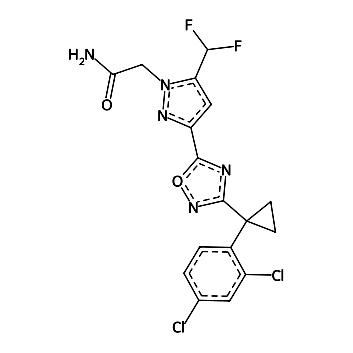 NC(=O)Cn1nc(-c2nc(C3(c4ccc(Cl)cc4Cl)CC3)no2)cc1C(F)F